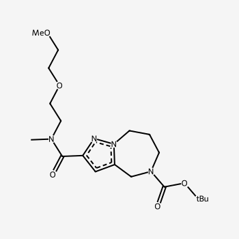 COCCOCCN(C)C(=O)c1cc2n(n1)CCCN(C(=O)OC(C)(C)C)C2